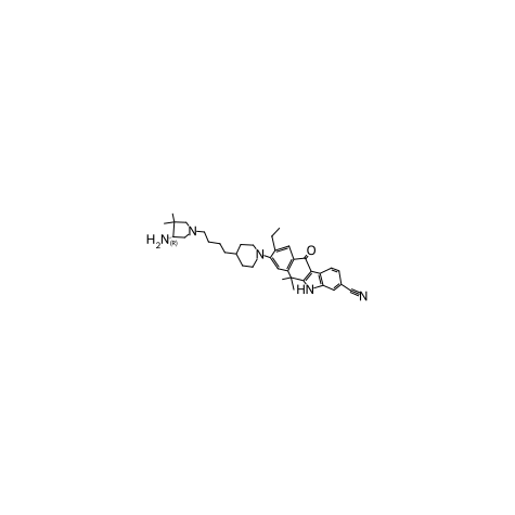 CCc1cc2c(cc1N1CCC(CCCCN3C[C@H](N)C(C)(C)C3)CC1)C(C)(C)c1[nH]c3cc(C#N)ccc3c1C2=O